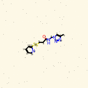 Cc1cn(CNC(=O)CCSSc2ccccn2)nn1